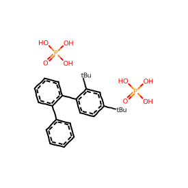 CC(C)(C)c1ccc(-c2ccccc2-c2ccccc2)c(C(C)(C)C)c1.O=P(O)(O)O.O=P(O)(O)O